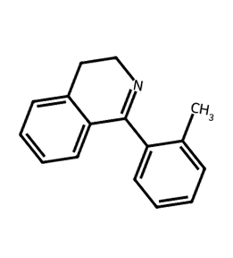 Cc1ccccc1C1=NCCc2ccccc21